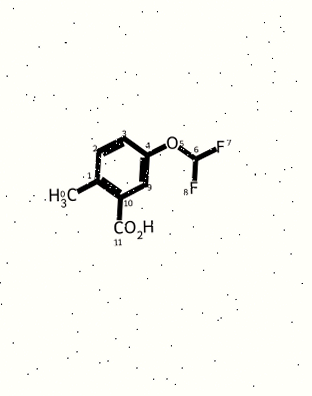 Cc1ccc(OC(F)F)cc1C(=O)O